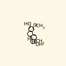 COc1cc2c(cc1O)CC[C@@H]1C2=CC[C@]2(C)[C@@H](O)CC[C@@H]12